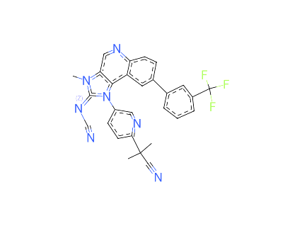 Cn1/c(=N/C#N)n(-c2ccc(C(C)(C)C#N)nc2)c2c3cc(-c4cccc(C(F)(F)F)c4)ccc3ncc21